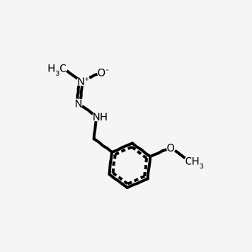 COc1cccc(CN/N=[N+](/C)[O-])c1